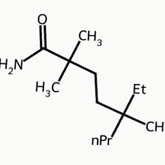 CCCC(C)(CC)CCC(C)(C)C(N)=O